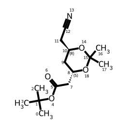 CC(C)(C)OC(=O)C[C@@H]1C[C@@H](CC#N)OC(C)(C)O1